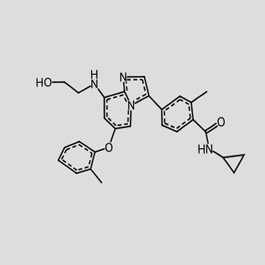 Cc1ccccc1Oc1cc(NCCO)c2ncc(-c3ccc(C(=O)NC4CC4)c(C)c3)n2c1